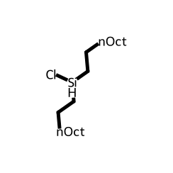 CCCCCCCCCC[SiH](Cl)CCCCCCCCCC